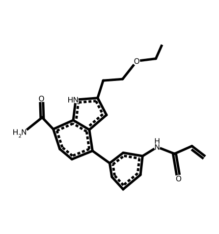 C=CC(=O)Nc1cccc(-c2ccc(C(N)=O)c3[nH]c(CCOCC)cc23)c1